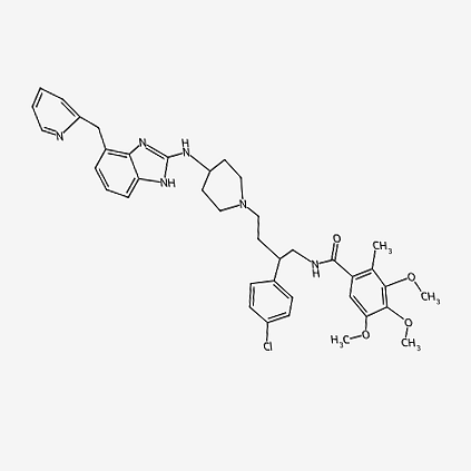 COc1cc(C(=O)NCC(CCN2CCC(Nc3nc4c(Cc5ccccn5)cccc4[nH]3)CC2)c2ccc(Cl)cc2)c(C)c(OC)c1OC